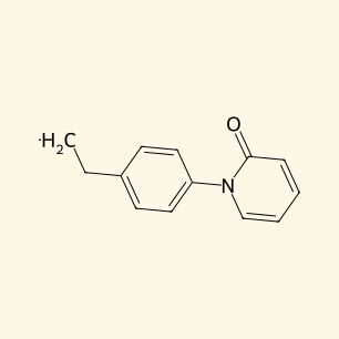 [CH2]Cc1ccc(-n2ccccc2=O)cc1